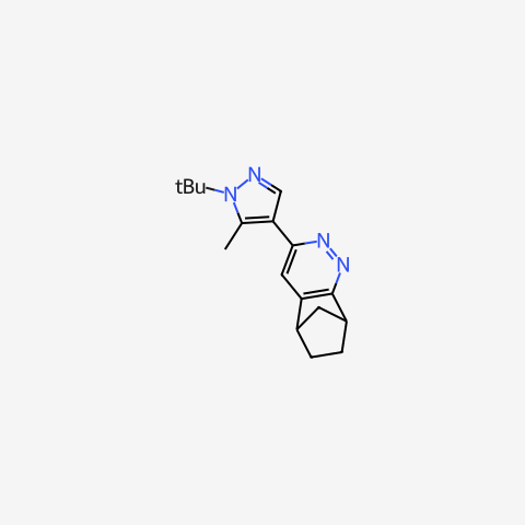 Cc1c(-c2cc3c(nn2)C2CCC3C2)cnn1C(C)(C)C